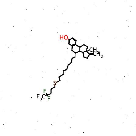 C=C1CCC2C3C(CC[C@]12C)c1ccc(O)cc1C[C@H]3CCCCCCCCCSCCCC(F)(F)C(F)(F)F